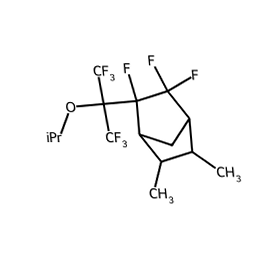 CC(C)OC(C(F)(F)F)(C(F)(F)F)C1(F)C2CC(C(C)C2C)C1(F)F